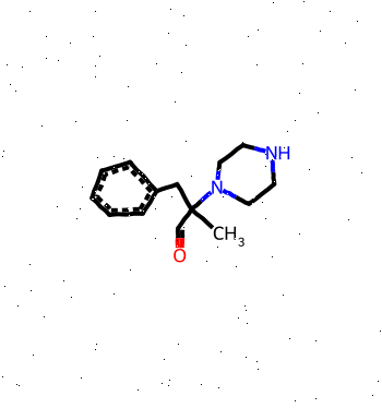 CC(C=O)(Cc1ccccc1)N1CCNCC1